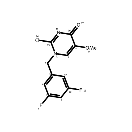 COc1cn(Cc2cc(F)cc(F)c2)c(Cl)nc1=O